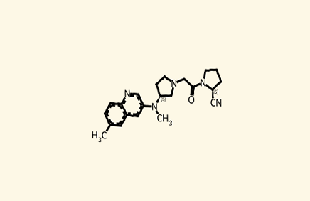 Cc1ccc2ncc(N(C)[C@H]3CCN(CC(=O)N4CCC[C@H]4C#N)C3)cc2c1